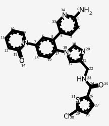 Nc1ccc(-c2cc(-n3ccccc3=O)ccc2-n2cnc(CNC(=O)c3ccc(Cl)s3)c2)cn1